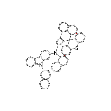 c1ccc2c(c1)Sc1ccccc1C21c2cc(N(c3ccc4c5ccccc5n(-c5ccc6ccccc6c5)c4c3)c3cccc4ccccc34)ccc2-c2cccc3cccc1c23